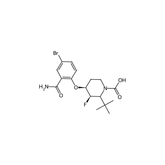 CC(C)(C)C1[C@@H](F)[C@@H](Oc2ccc(Br)cc2C(N)=O)CCN1C(=O)O